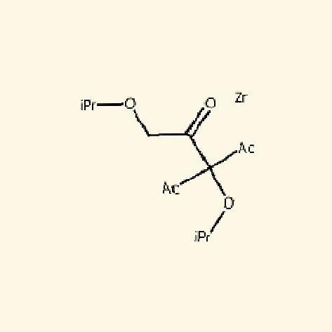 CC(=O)C(OC(C)C)(C(C)=O)C(=O)COC(C)C.[Zr]